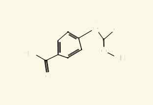 COC(C)Oc1ccc(C(=O)O)cc1